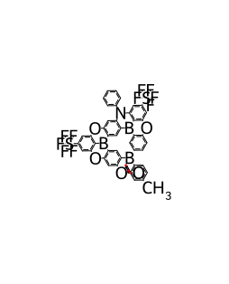 Cc1cc2c3c(c1)Oc1cc4c(cc1B3c1ccccc1O2)B1c2cc3c(cc2Oc2cc(S(F)(F)(F)(F)F)cc(c21)O4)N(c1ccccc1)c1cc(S(F)(F)(F)(F)F)cc2c1B3c1ccccc1O2